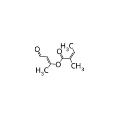 CC=C(C)C(=O)OC(C)=CC=O